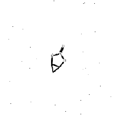 O=S1OC2CC2O1